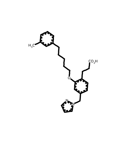 Cc1cccc(CCCCCOc2cc(Cn3cccn3)ccc2CCC(=O)O)c1